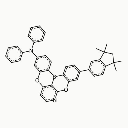 CC1(C)CC(C)(C)c2cc(-c3ccc4c(c3)Oc3nccc5c3B4c3ccc(N(c4ccccc4)c4ccccc4)cc3O5)ccc21